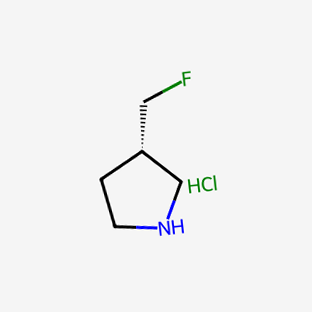 Cl.FC[C@H]1CCNC1